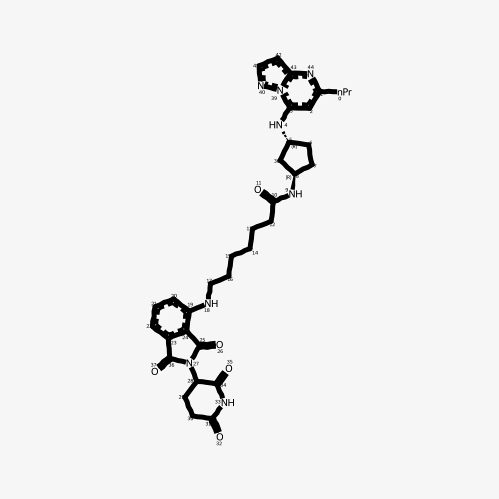 CCCc1cc(N[C@@H]2CC[C@@H](NC(=O)CCCCCCNc3cccc4c3C(=O)N(C3CCC(=O)NC3=O)C4=O)C2)n2nccc2n1